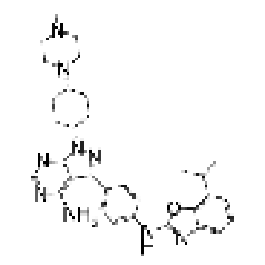 CC(C)c1cccc2nc(Nc3ccc(-c4nn([C@H]5CC[C@@H](N6CCN(C)CC6)CC5)c5ncnc(N)c45)cc3)oc12